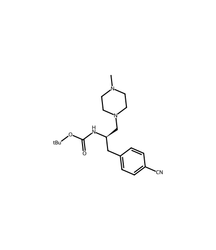 CN1CCN(C[C@@H](Cc2ccc(C#N)cc2)NC(=O)OC(C)(C)C)CC1